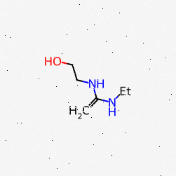 C=C(NCC)NCCO